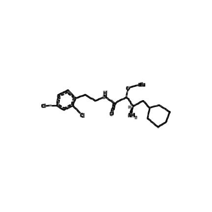 CC(C)(C)OC(C(=O)NCCc1ccc(Cl)cc1Cl)[C@H](N)CC1CCCCC1